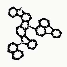 c1ccc2c(c1)-c1cccc3c(-n4c5ccc6oc7ccccc7c6c5c5ccc6c(c7ccccc7n6-c6cccc7ccccc67)c54)ccc-2c13